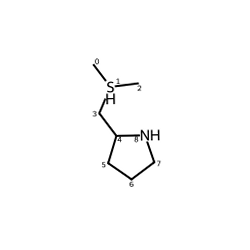 C[SH](C)CC1CCCN1